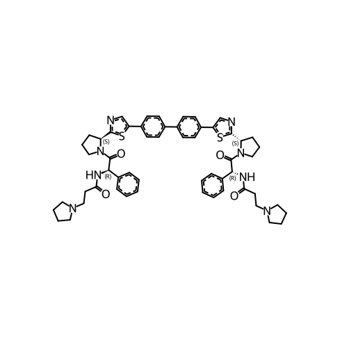 O=C(CCN1CCCC1)N[C@@H](C(=O)N1CCC[C@H]1c1ncc(-c2ccc(-c3ccc(-c4cnc([C@@H]5CCCN5C(=O)[C@H](NC(=O)CCN5CCCC5)c5ccccc5)s4)cc3)cc2)s1)c1ccccc1